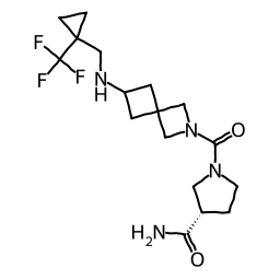 NC(=O)[C@H]1CCN(C(=O)N2CC3(CC(NCC4(C(F)(F)F)CC4)C3)C2)C1